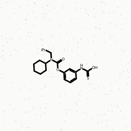 CC(C)CN(C(=O)Oc1cccc(NC(O)=S)c1)C1CCCCC1